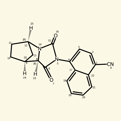 N#Cc1ccc(N2C(=O)[C@H]3[C@H]4CC[C@H](C4)N3C2=O)c2ccccc12